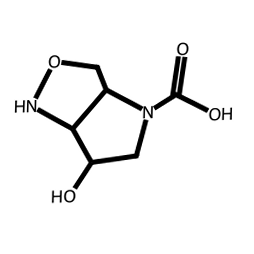 O=C(O)N1CC(O)C2NOCC21